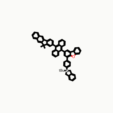 CC1(C)c2cc(-c3c4ccccc4c(-c4cc(-c5ccc([Si]6(C(C)(C)C)Cc7ccccc7C6)cc5)c5oc6ccccc6c5c4)c4ccccc34)ccc2-c2cc3ccccc3cc21